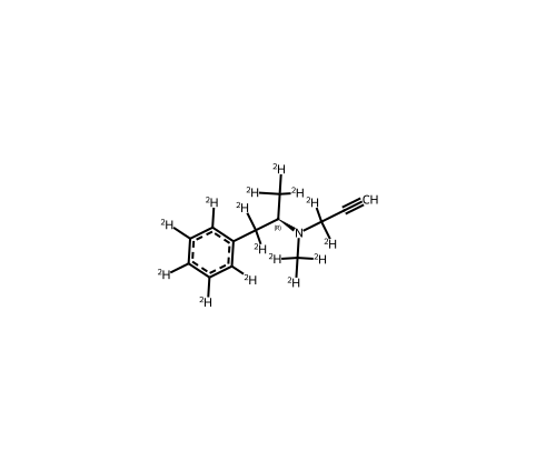 [2H]c1c([2H])c([2H])c(C([2H])([2H])[C@H](N(C([2H])([2H])[2H])C([2H])([2H])C#C)C([2H])([2H])[2H])c([2H])c1[2H]